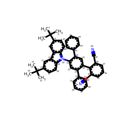 CC(C)(C)c1ccc2c(c1)c1cc(C(C)(C)C)ccc1n2-c1cc(-c2ccccc2)c(-c2c(C#N)cccc2C#N)cc1-c1ccccc1